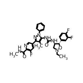 CCN1C[C@@H](NC(=O)Nc2c(C)c(-c3cnc(C(=O)NC)c(F)c3)nn2-c2ccccc2)[C@H](c2ccc(F)c(F)c2)O1